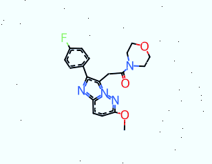 COc1ccc2nc(-c3ccc(F)cc3)c(CC(=O)N3CCOCC3)n2n1